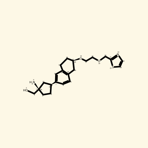 N[C@]1(CO)CC[C@H](c2ccc3c(c2)CC[C@@H](OCCOCc2nccs2)C3)C1